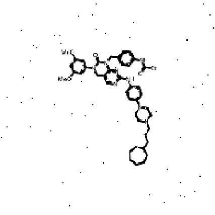 CCC(=O)Nc1ccc(CN2C(=O)N(c3cc(OC)cc(OC)c3)Cc3cnc(Nc4ccc(N5CCN(CCCC6CCCCCC6)CC5)cc4)nc32)cc1